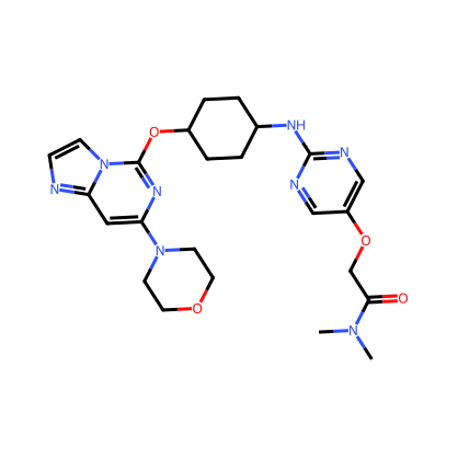 CN(C)C(=O)COc1cnc(NC2CCC(Oc3nc(N4CCOCC4)cc4nccn34)CC2)nc1